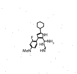 CNc1ccc(-c2cc(C3CCCCC3)[nH]c2C(N)NC=N)c(F)c1